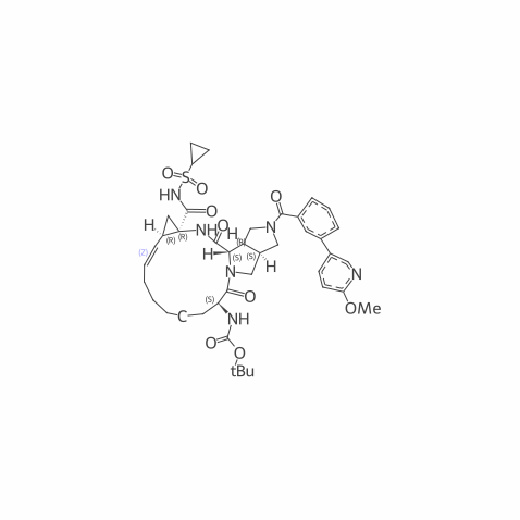 COc1ccc(-c2cccc(C(=O)N3C[C@H]4CN5C(=O)[C@@H](NC(=O)OC(C)(C)C)CCCCC/C=C\[C@H]6C[C@@]6(C(=O)NS(=O)(=O)C6CC6)NC(=O)[C@@H]5[C@H]4C3)c2)cn1